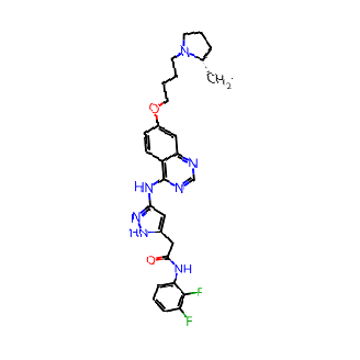 [CH2][C@H]1CCCN1CCCCOc1ccc2c(Nc3cc(CC(=O)Nc4cccc(F)c4F)[nH]n3)ncnc2c1